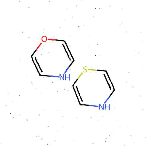 C1=COC=CN1.C1=CSC=CN1